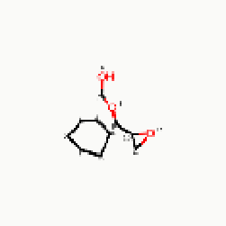 C1CCCCC1.OCOCC1CO1